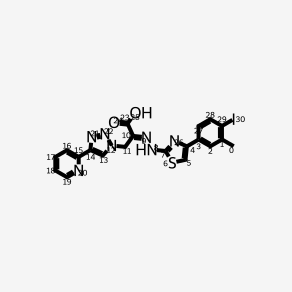 Cc1cc(-c2csc(N/N=C(\Cn3cc(-c4ccccn4)nn3)C(=O)O)n2)ccc1I